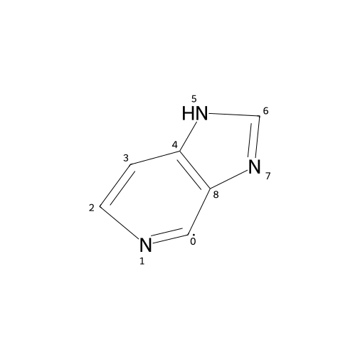 [c]1nccc2[nH]cnc12